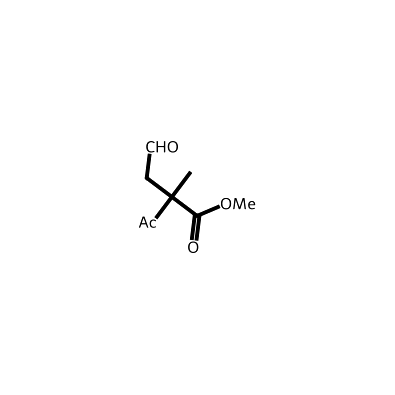 COC(=O)C(C)(CC=O)C(C)=O